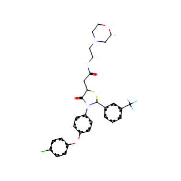 O=C(CC1SC(c2cccc(C(F)(F)F)c2)N(c2ccc(Oc3ccc(Cl)cc3)cc2)C1=O)NCCN1CCOCC1